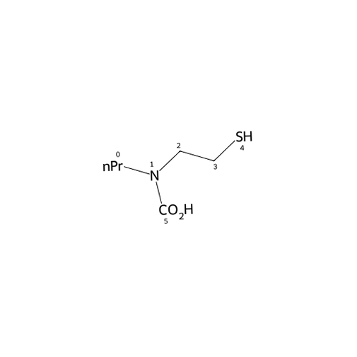 CCCN(CCS)C(=O)O